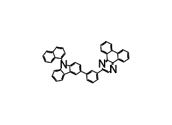 c1cc(-c2ccc3c(c2)c2ccccc2n3-c2cccc3ccccc23)cc(-c2cnc3c4ccccc4c4ccccc4c3n2)c1